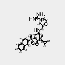 N=C(N)N1CCOC(CNC(=O)CC(C(=O)NC2CC2)S(=O)(=O)c2ccc3ccccc3c2)C1